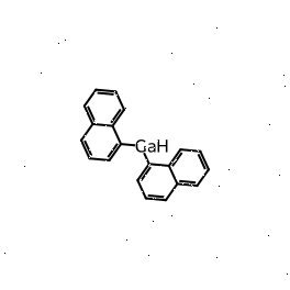 c1ccc2[c]([GaH][c]3cccc4ccccc34)cccc2c1